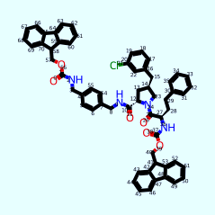 O=C(NCc1ccc(CNC(=O)[C@@H]2C[C@@H](Cc3cccc(Cl)c3)CN2C(=O)[C@@H](CCc2ccccc2)NC(=O)OCC2c3ccccc3-c3ccccc32)cc1)OCC1c2ccccc2-c2ccccc21